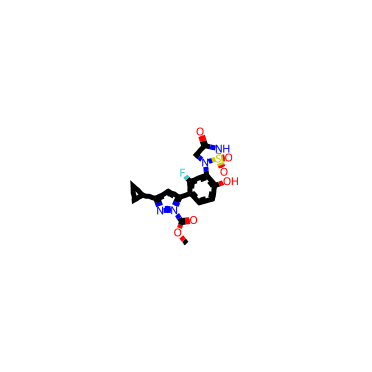 COC(=O)n1nc(C2CC2)cc1-c1ccc(O)c(N2CC(=O)NS2(=O)=O)c1F